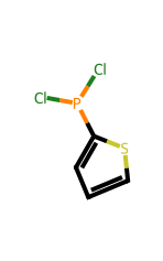 ClP(Cl)c1cccs1